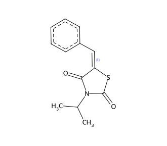 CC(C)N1C(=O)S/C(=C/c2ccccc2)C1=O